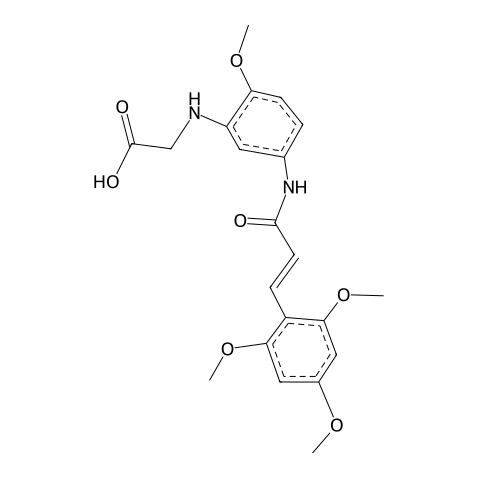 COc1cc(OC)c(C=CC(=O)Nc2ccc(OC)c(NCC(=O)O)c2)c(OC)c1